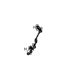 Nc1ncnc2c1c(-c1ccc(Oc3ccccc3)cc1)nn2[C@@H]1CCCN(C(=O)CCCN2CCN(CCCCCCCCSc3cccc4c3CN(C3CCC(=O)NC3=O)C4=O)CC2)C1